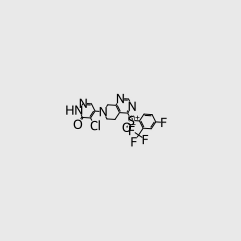 O=c1[nH]ncc(N2CCc3c(ncnc3[S@+]([O-])c3ccc(F)cc3C(F)(F)F)C2)c1Cl